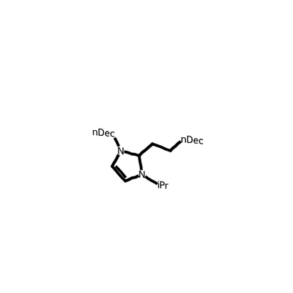 CCCCCCCCCCCCC1N(CCCCCCCCCC)C=CN1C(C)C